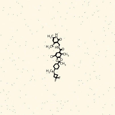 CSc1cc(C)[nH]c(=O)c1CNC(=O)c1cc(Cl)c2c(c1C)O[C@@](C)(C1CCC(N(C)C3CC(F)(F)C3)CC1)O2